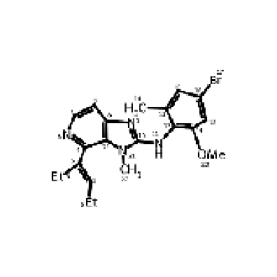 CCC=C(CC)c1nccc2nc(Nc3c(C)cc(Br)cc3OC)n(C)c12